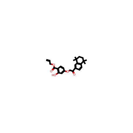 C=CCOC(=O)c1ccc(OCC(=O)c2ccc3c(c2)C(C)(C)CCC3(C)C)cc1O